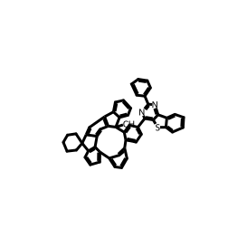 CC12c3cc(-c4nc(-c5ccccc5)nc5c4sc4ccccc45)ccc3-c3cccc(c3)-c3cccc4c3-c3cc1c(cc3C41CCCCC1)-c1ccccc12